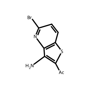 CC(=O)c1sc2ccc(Br)nc2c1N